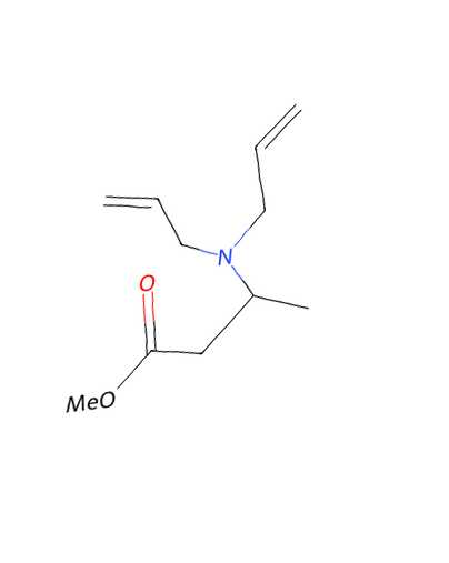 C=CCN(CC=C)C(C)CC(=O)OC